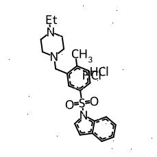 CCN1CCN(Cc2cc(S(=O)(=O)n3ccc4ccccc43)ccc2C)CC1.Cl.Cl